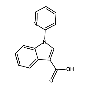 O=C(O)c1cn(-c2ccccn2)c2ccccc12